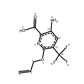 C=CCOc1nc(C(=O)O)c(N)cc1C(F)(F)F